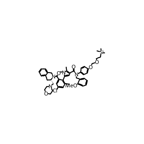 COc1ccccc1CN(C(=O)c1cc(-c2c(C)cc(Cl)cc2C(=O)N2Cc3ccccc3C[C@H]2CN2CCOCC2)n(C)c1C)c1ccc(OCOCC[Si](C)(C)C)cc1